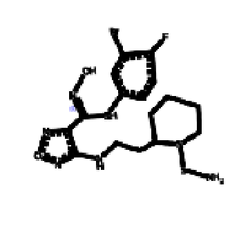 NSN1CCCCC1CCNc1nonc1/C(=N/O)Nc1ccc(F)c(Br)c1